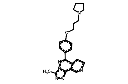 Cc1nnc2c3cnccc3c(-c3ccc(OCCCN4CCCC4)cc3)nn12